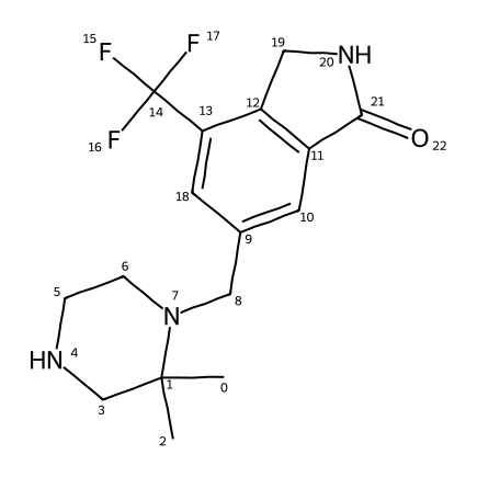 CC1(C)CNCCN1Cc1cc2c(c(C(F)(F)F)c1)CNC2=O